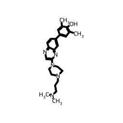 Cc1cc(-c2ccc3ncc(N4CCN(CCCN(C)C)CC4)nc3c2)cc(C)c1O